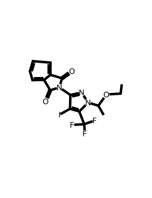 CCOC(C)n1nc(N2C(=O)c3ccccc3C2=O)c(I)c1C(F)(F)F